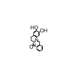 O=NC1CCc2cc(O)c(O)cc2N1Cc1ccccc1